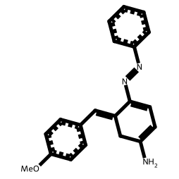 COc1ccc(C=C2CC(N)=CC=C2N=Nc2ccccc2)cc1